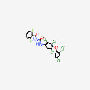 O=C(NC(=O)c1c(F)cccc1F)Nc1cc(Cl)c(Oc2ccc(Cl)cc2Cl)c(Cl)c1Cl